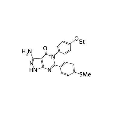 CCOc1ccc(-n2c(-c3ccc(SC)cc3)nc3[nH]nc(N)c3c2=O)cc1